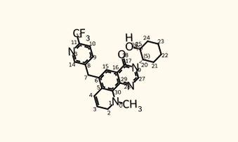 CN1CC=Cc2c(Cc3ccc(C(F)(F)F)nc3)cc3c(=O)n([C@H]4CCCC[C@@H]4O)cnc3c21